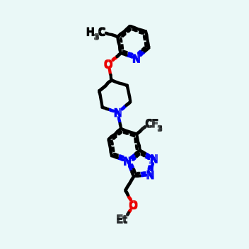 CCOCc1nnc2c(C(F)(F)F)c(N3CCC(Oc4ncccc4C)CC3)ccn12